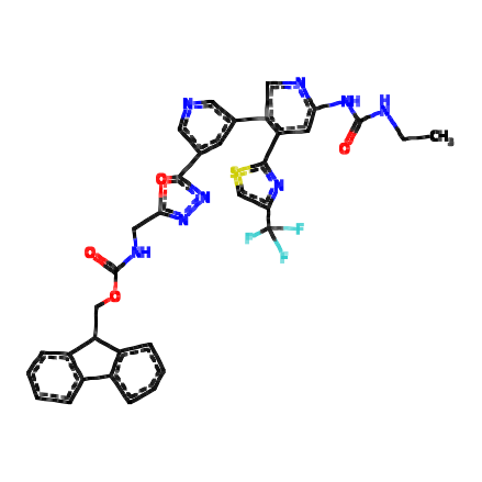 CCNC(=O)Nc1cc(-c2nc(C(F)(F)F)cs2)c(-c2cncc(-c3nnc(CNC(=O)OCC4c5ccccc5-c5ccccc54)o3)c2)cn1